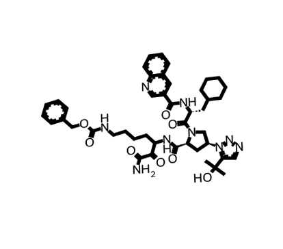 CC(C)(O)c1cnnn1[C@H]1C[C@@H](C(=O)NC(CCCCNC(=O)OCc2ccccc2)C(=O)C(N)=O)N(C(=O)[C@@H](CC2CCCCC2)NC(=O)c2cnc3ccccc3c2)C1